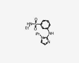 CCNS(=O)(=O)c1cccc(Nc2nccn2C(C)C)c1